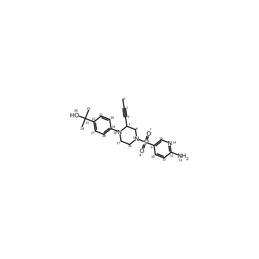 CC#CC1CN(S(=O)(=O)c2ccc(N)nc2)CCN1c1ccc(C(C)(C)O)cc1